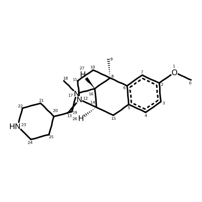 COc1ccc2c(c1)[C@]1(C)CCN(C)[C@H](C2)[C@@H]1N(C)CC1CCNCC1